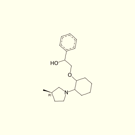 C[C@@H]1CCN(C2CCCCC2OCC(O)c2ccccc2)C1